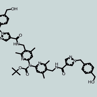 Cc1cc(N(C(=O)OC(C)(C)C)c2cc(C)c(CNC(=O)c3cnn(Cc4ccc(CO)cc4)c3)c(C)n2)nc(C)c1CNC(=O)c1cnn(Cc2ccc(CO)cc2)c1